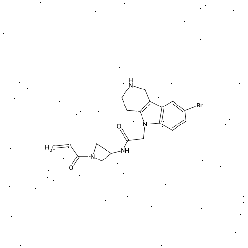 C=CC(=O)N1CC(NC(=O)Cn2c3c(c4cc(Br)ccc42)CNCC3)C1